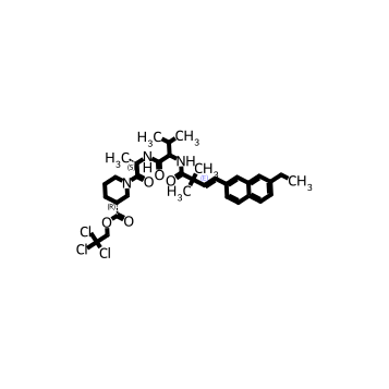 CCc1ccc2ccc(/C=C/C(C)(C)C(=O)NC(C(=O)N[C@@H](C)C(=O)N3CCC[C@@H](C(=O)OCC(Cl)(Cl)Cl)C3)C(C)C)cc2c1